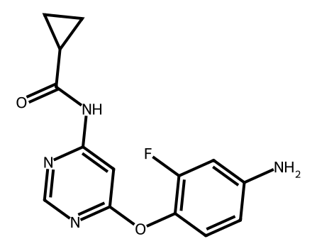 Nc1ccc(Oc2cc(NC(=O)C3CC3)ncn2)c(F)c1